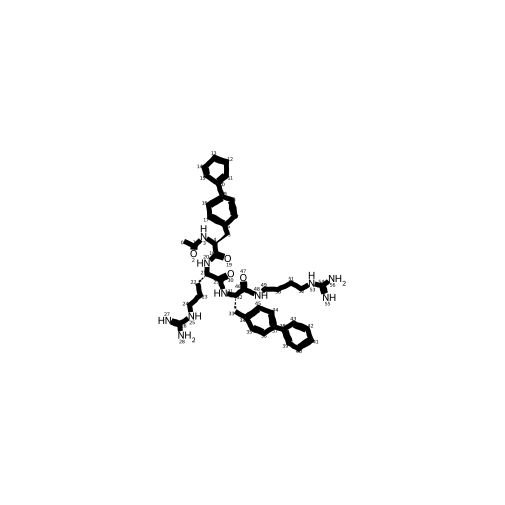 CC(=O)N[C@@H](Cc1ccc(-c2ccccc2)cc1)C(=O)N[C@@H](CCCNC(=N)N)C(=O)N[C@@H](Cc1ccc(-c2ccccc2)cc1)C(=O)NCCCCNC(=N)N